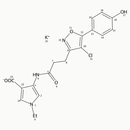 CCn1cc(NC(=O)CCc2noc(-c3ccc(O)cc3)c2Cl)c(C(=O)[O-])c1.[K+]